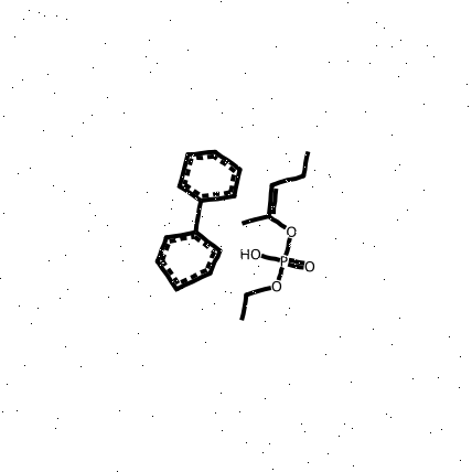 CCC=C(C)OP(=O)(O)OCC.c1ccc(-c2ccccc2)cc1